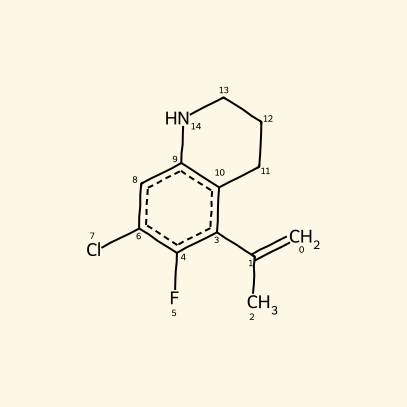 C=C(C)c1c(F)c(Cl)cc2c1CCCN2